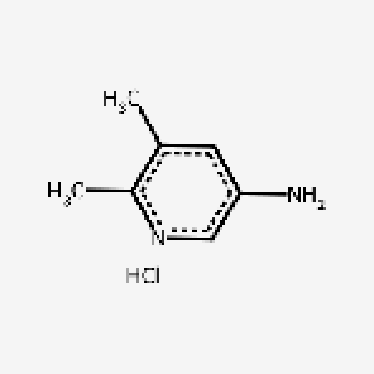 Cc1cc(N)cnc1C.Cl